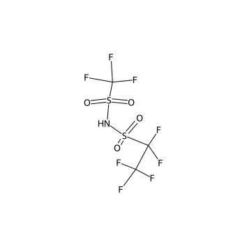 O=S(=O)(NS(=O)(=O)C(F)(F)C(F)(F)F)C(F)(F)F